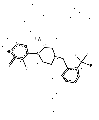 C[C@@H]1CN(Cc2ccccc2C(F)(F)F)CCN1c1cn[nH]c(=O)c1Cl